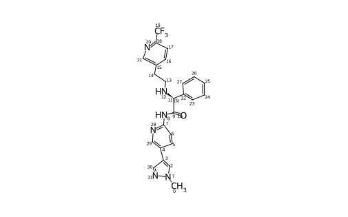 Cn1cc(-c2ccc(NC(=O)[C@@H](NCCc3ccc(C(F)(F)F)nc3)c3ccccc3)nc2)cn1